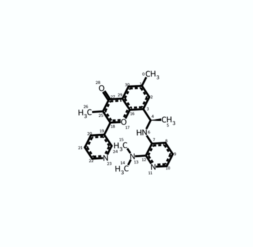 Cc1cc([C@@H](C)Nc2cccnc2N(C)C)c2oc(-c3cccnc3)c(C)c(=O)c2c1